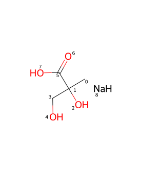 CC(O)(CO)C(=O)O.[NaH]